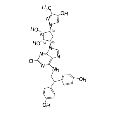 Cc1nn([C@H]2C[C@@H](n3cnc4c(NCC(c5ccc(O)cc5)c5ccc(O)cc5)nc(Cl)nc43)[C@H](O)[C@@H]2O)cc1O